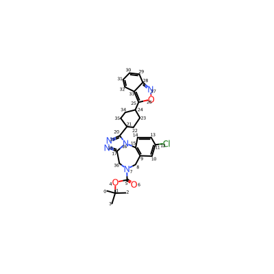 CC(C)(C)OC(=O)N1Cc2cc(Cl)ccc2-n2c(nnc2C2CCC(c3onc4ccccc34)CC2)C1